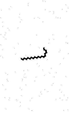 CC/C=C\C/C=C\CCCCCCCCCCCCC